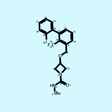 CC(C)(C)NC(=O)N1CC(OCc2cccc(-c3ccccc3I)c2C(F)(F)F)C1